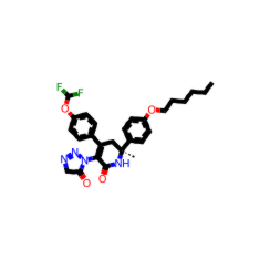 CCCCCCOc1ccc([C@]2(C)CC(c3ccc(OC(F)F)cc3)=C(N3N=NCC3=O)C(=O)N2)cc1